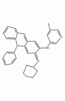 Cc1cncc(Nc2cc3nc4ccccc4n(-c4ccccc4)c-3c/c2=N\C2CCOCC2)c1